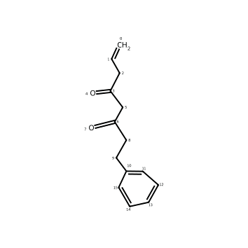 C=CCC(=O)CC(=O)CCc1ccccc1